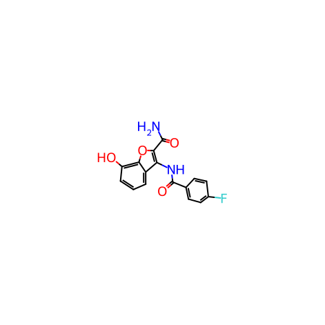 NC(=O)c1oc2c(O)cccc2c1NC(=O)c1ccc(F)cc1